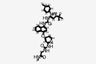 CNC(=O)CNC(=O)Nc1cc(Oc2ccc(NC(=O)Nc3cc(C(C)(C)C)nn3-c3ccc(C)cc3)c3ccccc23)ccn1